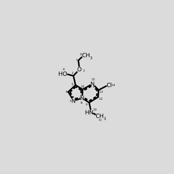 CCOC(O)c1cnn2c(NC)cc(Cl)nc12